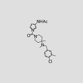 CC(=O)Nc1ccn(C(=O)N2CCC(C)(N(C)Cc3ccc(Cl)c(C)c3)CC2)c1